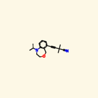 CC(C)N1CCOCc2c(C#CC(C)(C)C#N)cccc21